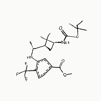 COC(=O)c1ccc(C(F)(F)F)c(N[C@@H](C)[C@@H]2C[C@H](NC(=O)OC(C)(C)C)C2(C)C)c1